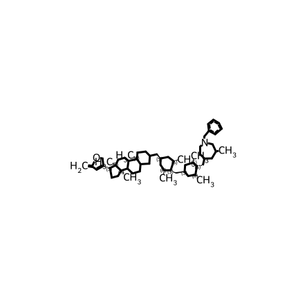 C=C1C=C([C@H]2CC[C@]3(C)C4CCC5CC(C[C@@H]6C[C@@H](C)[C@@H](C[C@@H]7C[C@@H](C)[C@@H](CC8CCN(Cc9ccccc9)CC(C)C8)[C@@H](C)C7)[C@@H](C)C6)CC[C@]5(C)C4CC[C@]23C)CO1